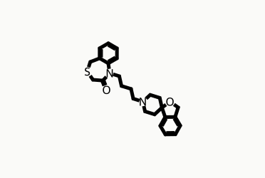 O=C1CSCc2ccccc2N1CCCCN1CCC2(CC1)OCc1ccccc12